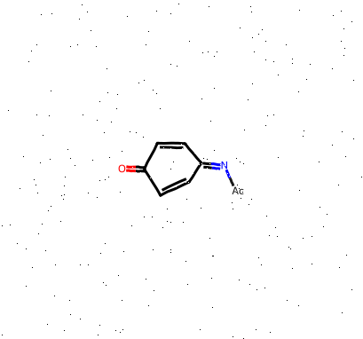 CC(=O)N=C1C=CC(=O)C=C1